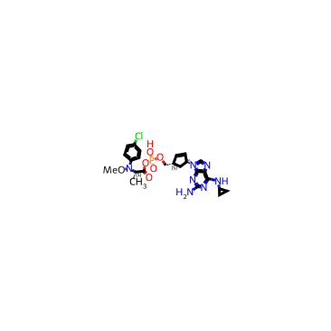 CON(c1ccc(Cl)cc1)[C@@H](C)C(=O)OP(=O)(O)OC[C@@H]1C=C[C@H](n2cnc3c(NC4CC4)nc(N)nc32)C1